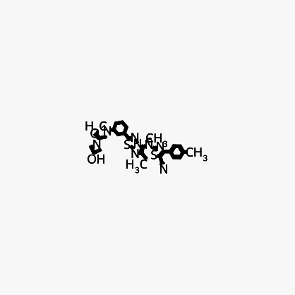 CCc1nc2sc(C3CCCC(N(C)CC(=O)N4CC(O)C4)C3)nn2c1N(C)c1nc(-c2ccc(C)cc2)c(C#N)s1